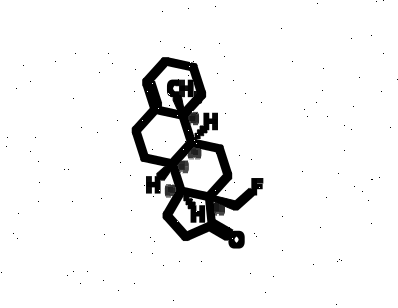 C[C@]12CCCC=C1CC[C@H]1[C@@H]3CCC(=O)[C@@]3(CF)CC[C@@H]12